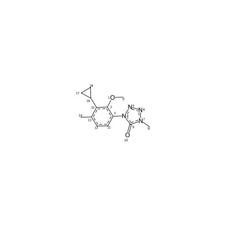 COc1c(-n2nnn(C)c2=O)ccc(C)c1C1CC1